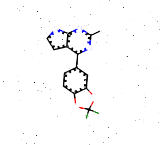 Cc1nc(-c2ccc3c(c2)OC(F)(F)O3)c2cc[nH]c2n1